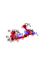 C=C1C[C@](C=O)([C@H](O)C(=O)N[C@@H](OC)[C@@H]2C[C@@H](O)C(C)(C)[C@@H](C[C@@H](COC(=O)NCCCNC(=O)OCc3ccc(NC(=O)[C@H](CCCNC(N)=O)NC(=O)[C@@H](NC(=O)CCCCCN4C(=O)CC(SC)C4=O)C(C)C)cc3)OC)O2)O[C@H](C)[C@@H]1C